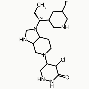 CC[C@@H](C1CNCC(F)C1)N1CNC2CN(C3CNNC(=O)C3Cl)CCC21